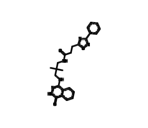 CC(C)(CNC(=O)CCc1nc(-c2ccccc2)no1)CNc1n[nH]c(=O)c2ccccc12